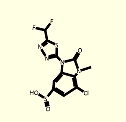 Cn1c(=O)n(-c2nnc(C(F)F)s2)c2cc(S(=O)O)cc(Cl)c21